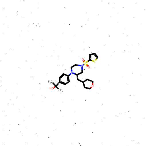 O=S(=O)(c1cccs1)N1CCN(c2ccc(C(O)(C(F)(F)F)C(F)(F)F)cc2)C(CC2CCOCC2)C1